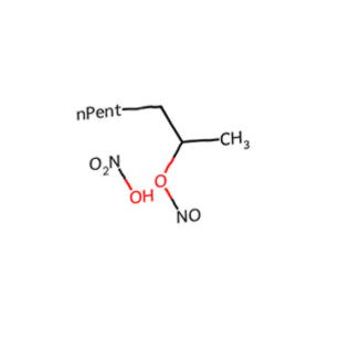 CCCCCCC(C)ON=O.O=[N+]([O-])O